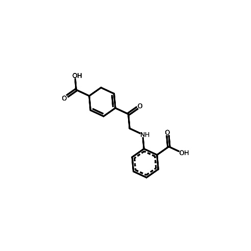 O=C(CNc1ccccc1C(=O)O)C1=CCC(C(=O)O)C=C1